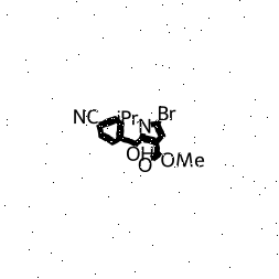 COC(=O)c1cc(Br)n(C(C)C)c1C(O)c1ccc(C#N)cc1